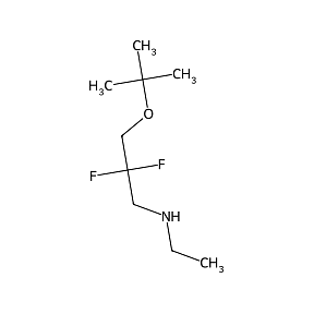 CCNCC(F)(F)COC(C)(C)C